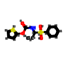 O=C(NC(C(Cl)(Cl)Cl)S(=O)(=O)c1ccccc1)Oc1cccs1